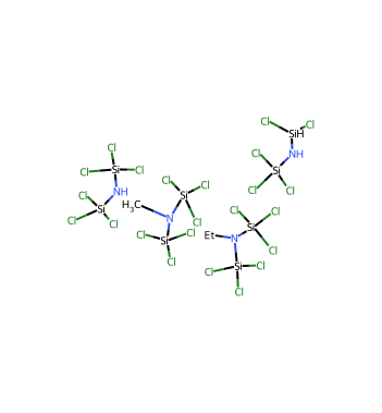 CCN([Si](Cl)(Cl)Cl)[Si](Cl)(Cl)Cl.CN([Si](Cl)(Cl)Cl)[Si](Cl)(Cl)Cl.Cl[SiH](Cl)N[Si](Cl)(Cl)Cl.Cl[Si](Cl)(Cl)N[Si](Cl)(Cl)Cl